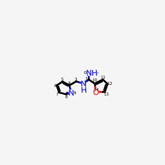 [NH]C(NCc1ccccn1)c1ccco1